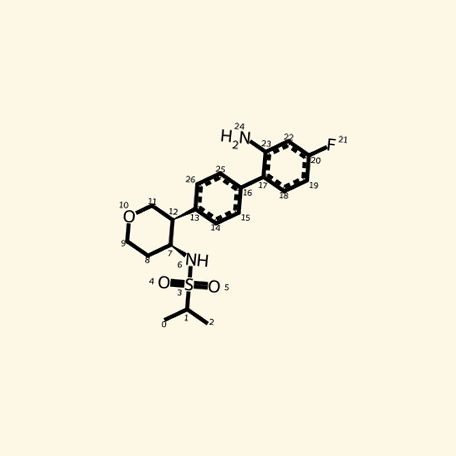 CC(C)S(=O)(=O)N[C@H]1CCOC[C@H]1c1ccc(-c2ccc(F)cc2N)cc1